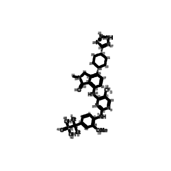 CCC(CC)(c1ccc(Nc2ncc(C(F)(F)F)c(Nc3ccc([C@H]4CC[C@@H](c5nn[nH]n5)CC4)c4c3C(=O)N(C)C4)n2)c(OC)c1)P(=O)(O)O